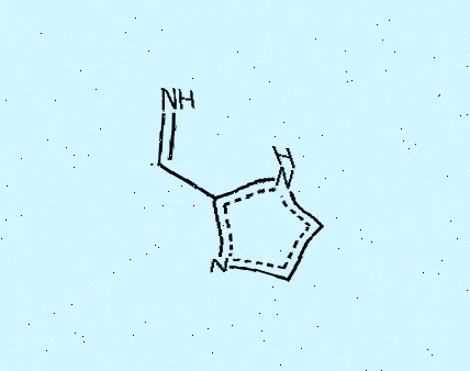 N=[C]c1ncc[nH]1